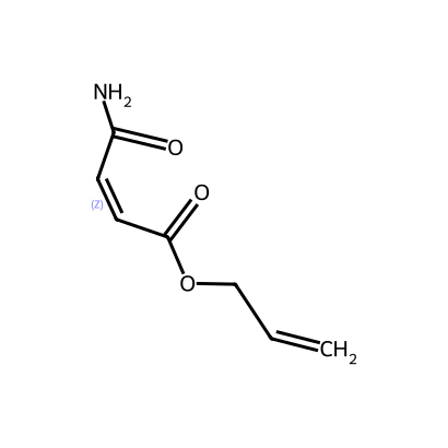 C=CCOC(=O)/C=C\C(N)=O